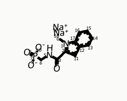 Cn1c(C(=O)NCP(=O)([O-])[O-])cc2ccccc21.[Na+].[Na+]